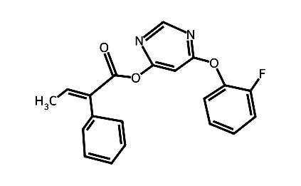 CC=C(C(=O)Oc1cc(Oc2ccccc2F)ncn1)c1ccccc1